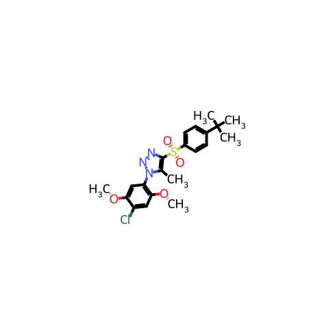 COc1cc(-n2nnc(S(=O)(=O)c3ccc(C(C)(C)C)cc3)c2C)c(OC)cc1Cl